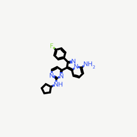 Nc1cccc2c(-c3ccnc(NC4CCCC4)n3)c(-c3ccc(F)cc3)nn12